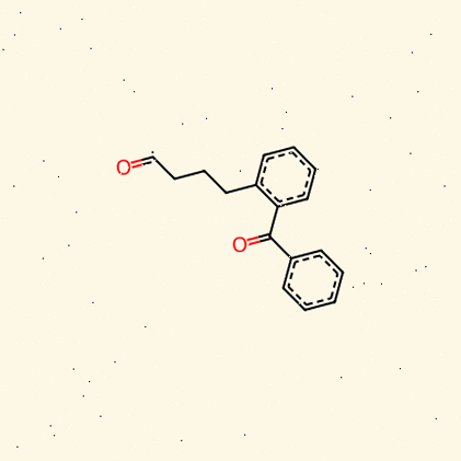 O=[C]CCCc1ccccc1C(=O)c1ccccc1